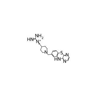 N=C(N)[N+]#CC1CCN(Cc2ccc3c(c2)Nc2nccnc2S3)CC1